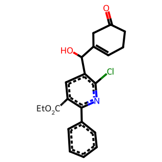 CCOC(=O)c1cc(C(O)C2=CCCC(=O)C2)c(Cl)nc1-c1ccccc1